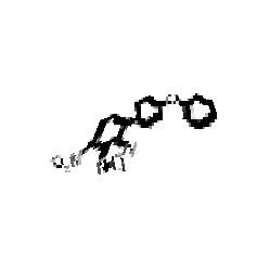 O=[N+]([O-])c1ccc(-c2ccc(Oc3ccccc3)cc2)c2nonc12